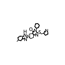 Cc1ccc2[nH]c(N3CCc4nc(SCc5cccnc5)n(-c5ccccc5)c(=O)c4C3)nc2c1